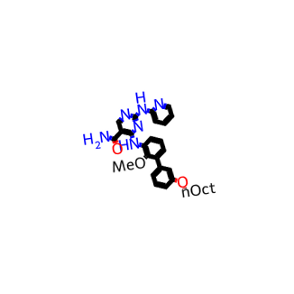 CCCCCCCCOc1cccc(-c2cccc(Nc3nc(Nc4ccccn4)ncc3C(N)=O)c2OC)c1